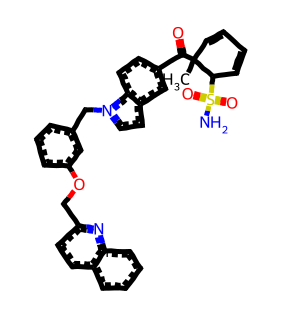 CC1(C(=O)c2ccc3c(ccn3Cc3cccc(OCc4ccc5ccccc5n4)c3)c2)C=CC=CC1S(N)(=O)=O